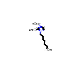 CCCCCCCCCCCCCCCC[n+]1ccn(CCCCCCCC)c1CCCCCCCCC